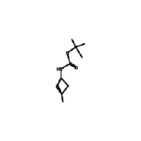 CC12CC(NC(=O)OC(C)(C)C)(C1)C2